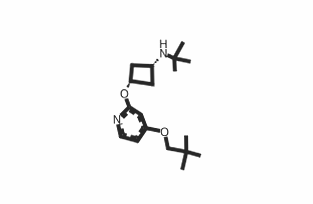 CC(C)(C)COc1ccnc(O[C@H]2C[C@@H](NC(C)(C)C)C2)c1